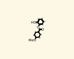 COC1CCC(C(=O)Oc2ccccc2O)CC1